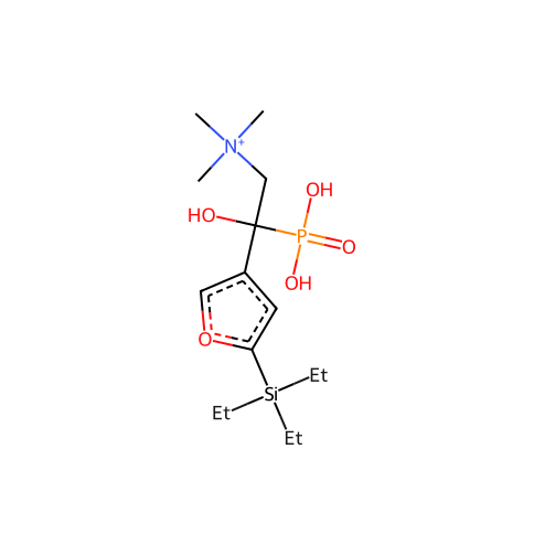 CC[Si](CC)(CC)c1cc(C(O)(C[N+](C)(C)C)P(=O)(O)O)co1